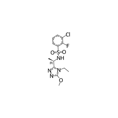 CCn1c(OC)nnc1[C@@H](C)NS(=O)(=O)c1cccc(Cl)c1F